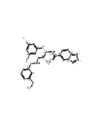 CCc1cccc(CNC[C@@H](O)[C@H](Cc2cc(F)cc(F)c2)NC(=O)c2ccc3nncn3c2)c1